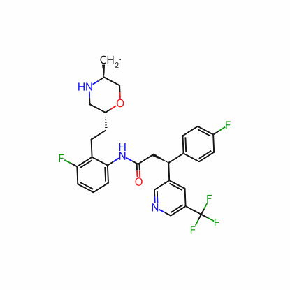 [CH2][C@H]1CO[C@H](CCc2c(F)cccc2NC(=O)C[C@@H](c2ccc(F)cc2)c2cncc(C(F)(F)F)c2)CN1